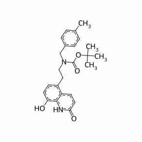 Cc1ccc(CN(CCc2ccc(O)c3[nH]c(=O)ccc23)C(=O)OC(C)(C)C)cc1